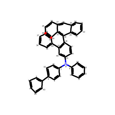 c1ccc(-c2ccc(N(c3ccccc3)c3ccc(-c4c5ccccc5cc5ccccc45)c(-c4ccccc4)c3)cc2)cc1